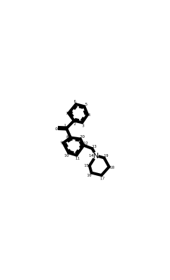 C=C(c1ccccc1)c1cccc(CN2CCCCC2)c1